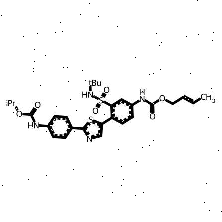 C/C=C/COC(=O)Nc1ccc(-c2cnc(-c3ccc(NC(=O)OC(C)C)cc3)s2)c(S(=O)(=O)NC(C)(C)C)c1